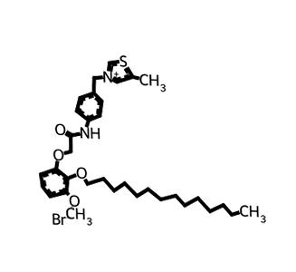 CCCCCCCCCCCCCCOc1c(OC)cccc1OCC(=O)Nc1ccc(C[n+]2csc(C)c2)cc1.[Br-]